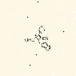 N#Cc1c(N2CCOCC2)sc(C=O)c1Cc1ccc2sccc2c1